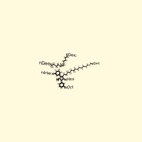 CCCCCCCCCCCCCCCCCCCCCCCCCC1=C(c2cccc(CCCCCC)c2)[N+](=[N-])C(c2cccc(CCCCCCCC)c2)=C1CCCCCC.CCCCCCCCCCCCCC[CH2][Ni][CH2]CCCCCCCCCCCCCC